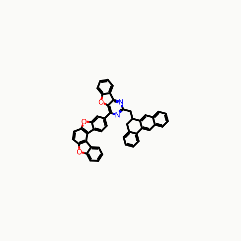 c1ccc2c(c1)CC(Cc1nc(-c3ccc4c(c3)oc3ccc5oc6ccccc6c5c34)c3oc4ccccc4c3n1)c1cc3ccccc3cc1-2